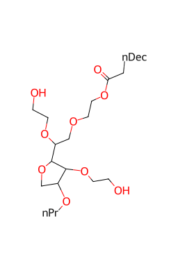 CCCCCCCCCCCC(=O)OCCOCC(OCCO)C1OCC(OCCC)C1OCCO